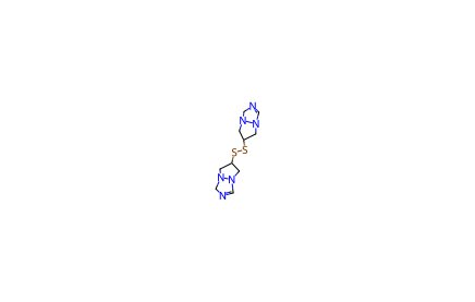 C1=NCN2CC(SSC3CN4C=NCN4C3)CN12